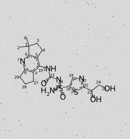 CC1(C)CCc2c1nc1c(c2NC(=O)N=[S@@](N)(=O)c2cnc(C(O)CO)s2)CCC1